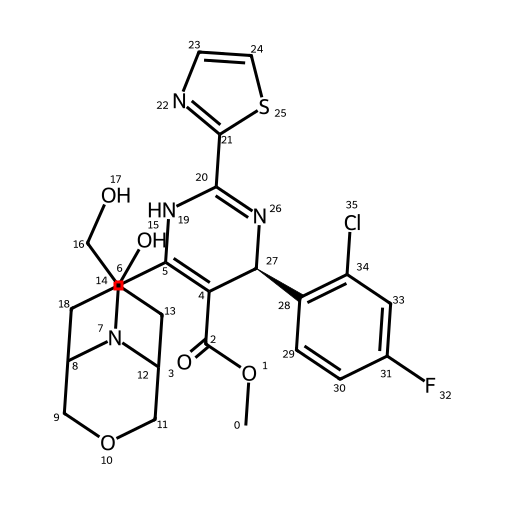 COC(=O)C1=C(CN2C3COCC2CC(O)(CO)C3)NC(c2nccs2)=N[C@H]1c1ccc(F)cc1Cl